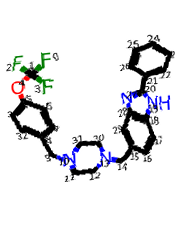 FC(F)(F)Oc1ccc(CN2CCN(Cc3ccc4[nH]c(-c5ccccc5)nc4c3)CC2)cc1